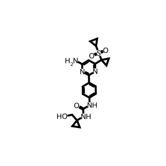 Nc1cc(C2(S(=O)(=O)C3CC3)CC2)nc(-c2ccc(NC(=O)NC3(CO)CC3)cc2)n1